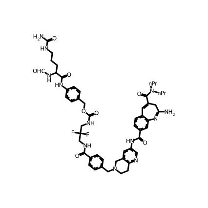 CCCN(CCC)C(=O)C1=Cc2ccc(C(=O)Nc3cnc4c(c3)CN(Cc3ccc(C(=O)NCC(F)(F)CNC(=O)OCc5ccc(NC(=O)C(CCCNC(N)=O)NC=O)cc5)cc3)CC4)cc2N=C(N)C1